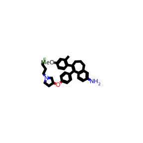 COc1ccc(C2=C(c3ccc(OC4CCN(CCCF)C4)cc3)c3ccc(N)cc3CCC2)c(C)c1